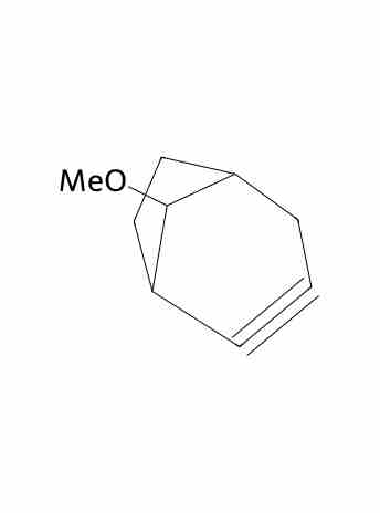 COC1C2C#CCC1CC2